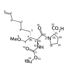 C=CCCCC[C@@H](COC)[C@H](NC(=O)OC(C)(C)C)C(=O)N1CCC[C@H]1C(=O)O